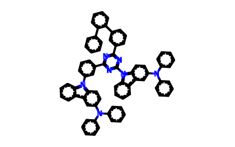 c1ccc(-c2ccccc2-c2cccc(-c3nc(-c4cccc(-n5c6ccccc6c6cc(N(c7ccccc7)c7ccccc7)ccc65)c4)nc(-n4c5ccccc5c5cc(N(c6ccccc6)c6ccccc6)ccc54)n3)c2)cc1